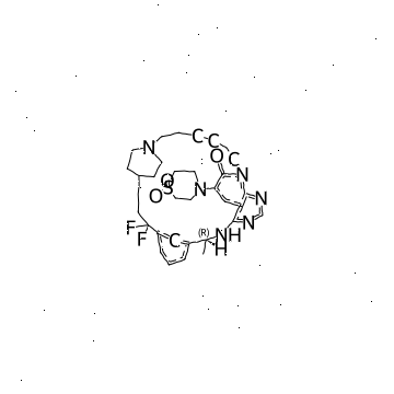 C[C@H]1Nc2ncnc3c2cc(N2CCS(=O)(=O)CC2)c(=O)n3CCCCCCN2CCC(CC2)CC(F)(F)c2cccc1c2